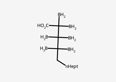 BC(B)(CCCCCCCC)C(B)(B)C(B)(B)C(=O)O